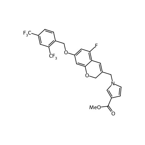 COC(=O)c1ccn(CC2=Cc3c(F)cc(OCc4ccc(C(F)(F)F)cc4C(F)(F)F)cc3OC2)c1